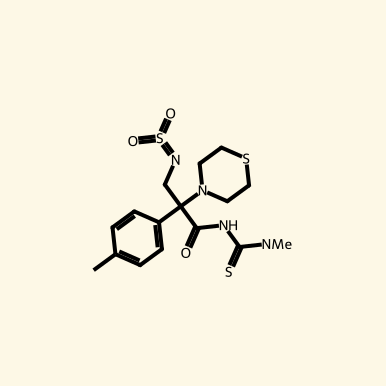 CNC(=S)NC(=O)C(CN=S(=O)=O)(c1ccc(C)cc1)N1CCSCC1